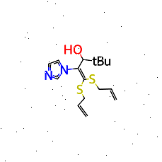 C=CCSC(SCC=C)=C(C(O)C(C)(C)C)n1ccnc1